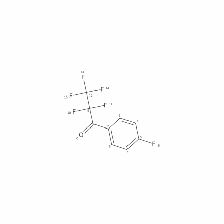 O=C(c1ccc(F)cc1)C(F)(F)C(F)(F)F